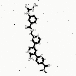 CN(C)C(=O)c1ccc(-c2cc(-c3ccnc(CNC(=O)c4cccc(NC(=O)OC(C)(C)C)c4)c3)cnc2N)nc1